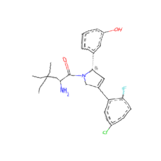 CC(C)(C)C(N)C(=O)N1CC(c2cc(Cl)ccc2F)=C[C@H]1c1cccc(O)c1